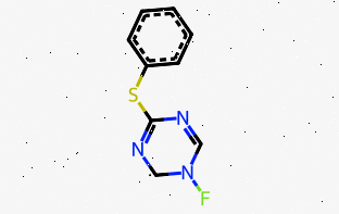 FN1[CH]N=C(Sc2ccccc2)N=C1